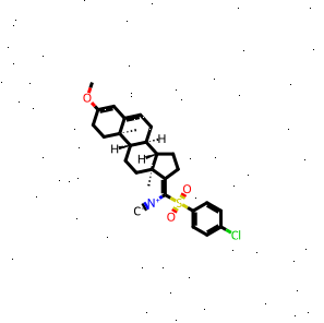 [C-]#[N+]C(=C1CC[C@H]2[C@@H]3CC=C4C=C(OC)CC[C@]4(C)[C@H]3CC[C@]12C)S(=O)(=O)c1ccc(Cl)cc1